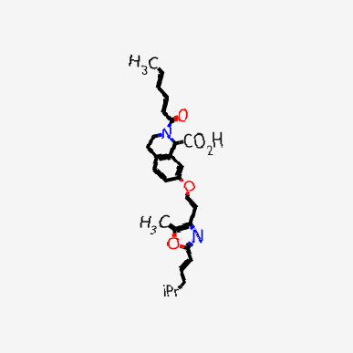 CC=CC=CC(=O)N1CCc2ccc(OCCc3nc(C=CCC(C)C)oc3C)cc2C1C(=O)O